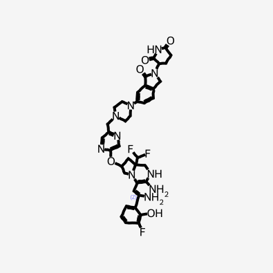 NC1=C(/C=C(\N)c2cccc(F)c2O)N2CC(Oc3cnc(CN4CCN(c5ccc6c(c5)C(=O)N(C5CCC(=O)NC5=O)C6)CC4)cn3)CC2(C(F)F)CN1